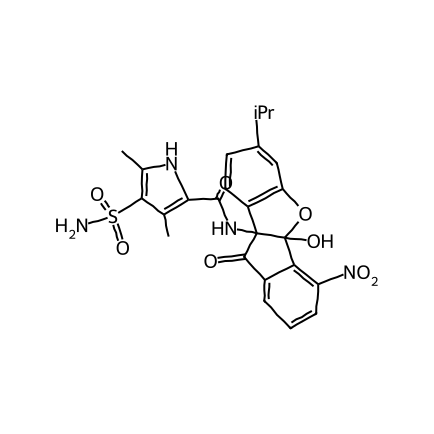 Cc1[nH]c(C(=O)NC23C(=O)c4cccc([N+](=O)[O-])c4C2(O)Oc2cc(C(C)C)ccc23)c(C)c1S(N)(=O)=O